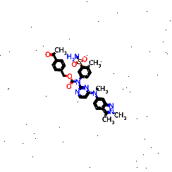 CC(=O)c1ccc(COC(=O)N(c2ccc(C)c(S(N)(=O)=O)c2)c2nccc(N(C)c3ccc4c(C)n(C)nc4c3)n2)cc1